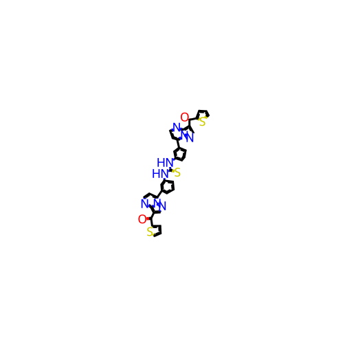 O=C(c1cccs1)c1cnn2c(-c3cccc(NC(=S)Nc4cccc(-c5ccnc6c(C(=O)c7cccs7)cnn56)c4)c3)ccnc12